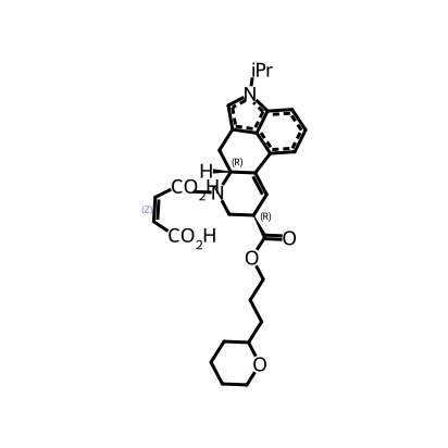 CC(C)n1cc2c3c(cccc31)C1=C[C@@H](C(=O)OCCCC3CCCCO3)CN(C)[C@@H]1C2.O=C(O)/C=C\C(=O)O